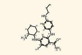 CCCNc1ccc(Nc2nc(NC3CCCC[C@@H]3N)c(F)cc2C(N)=O)cn1